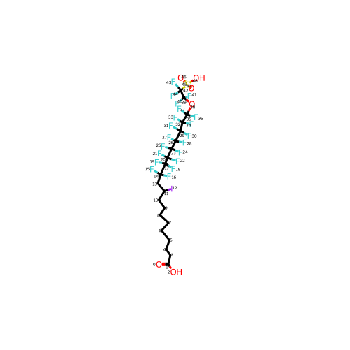 O=C(O)CCCCCCCCC(I)CC(F)(F)C(F)(F)C(F)(F)C(F)(F)C(F)(F)C(F)(F)C(F)(F)C(F)(F)OC(F)(F)C(F)(F)S(=O)(=O)O